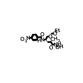 C=C(C[C@@H](COCOCC)NC(=O)c1ccc([N+](=O)[O-])cc1)C(=O)NO